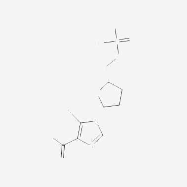 Nc1c(C(=O)O)ncn1[C@@H]1O[C@H](COP(=O)(O)O)[C@H](O)[C@@H]1O